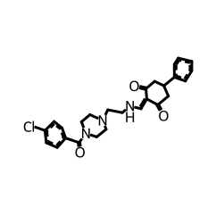 O=C1CC(c2ccccc2)CC(=O)C1=CNCCN1CCN(C(=O)c2ccc(Cl)cc2)CC1